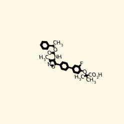 Cc1noc(-c2ccc(-c3ccc(OC(C)(C)C(=O)O)c(F)c3)cc2)c1NC(=O)O[C@H](C)c1ccccc1